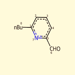 CCCCc1cccc(C=O)n1